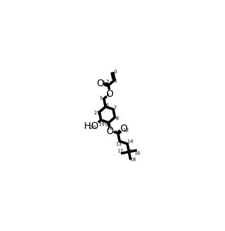 C=CC(=O)OCC1CCC(OC(=O)CCC(C)(C)C)C(O)C1